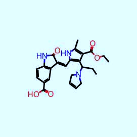 CCOC(=O)c1c(C)[nH]c(C=C2C(=O)Nc3ccc(C(=O)O)cc32)c1C(CC)N1CC=CC1